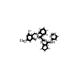 CCOc1cc(F)c(Cn2nc(-c3nc4c(c(Nc5ccncn5)n3)CCC4)c3ccccc32)c(F)c1